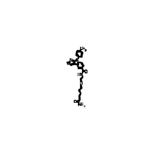 Cn1cc2c3cc(C(=O)NCCOCCCCCCC(N)=O)ccc3n(-c3ccc(C(F)(F)F)cc3)c2n1